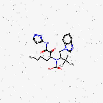 CCCC[C@@H](C(=O)C(=O)Nc1ccn[nH]1)N(C(=O)O)C(Cn1cnc2ccccc21)C(C)(C)C